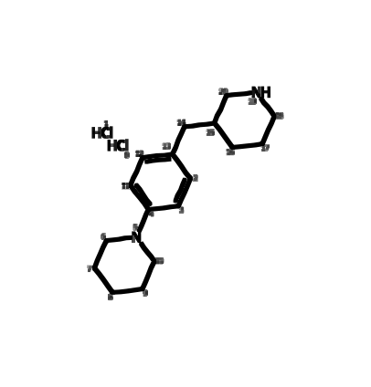 Cl.Cl.c1cc(N2CCCCC2)ccc1CC1CCCNC1